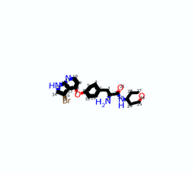 NC(Cc1ccc(Oc2ccnc3[nH]cc(Br)c23)cc1)C(=O)NC1CCOCC1